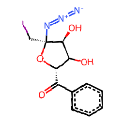 [N-]=[N+]=N[C@]1(CI)O[C@@H](C(=O)c2ccccc2)C(O)[C@@H]1O